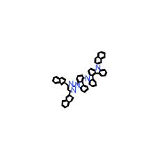 c1ccc2cc(-c3cc(-c4ccc5ccccc5c4)nc(-n4c5ccccc5c5c(-n6c7ccccc7c7c8c9ccccc9n(-c9ccc%10ccccc%10c9)c8ccc76)cccc54)n3)ccc2c1